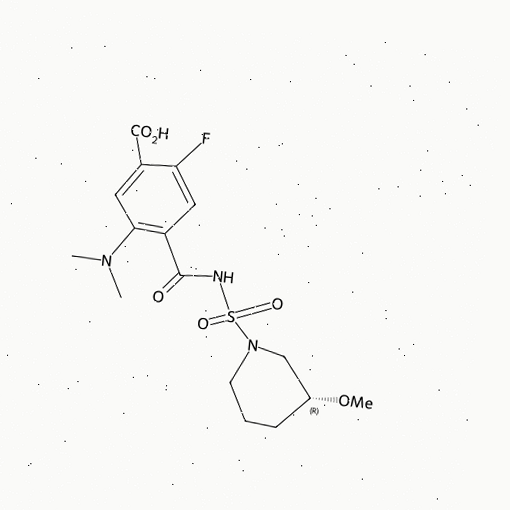 CO[C@@H]1CCCN(S(=O)(=O)NC(=O)c2cc(F)c(C(=O)O)cc2N(C)C)C1